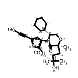 CC(C)(C)C#Cc1cc(N2C(=O)[C@](C)(CCC(C)(C)O)OC[C@H]2C2CCCCC2)c(C(=O)O)s1